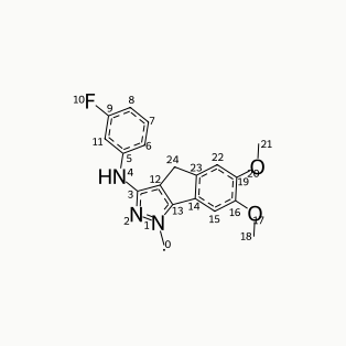 [CH2]n1nc(Nc2cccc(F)c2)c2c1-c1cc(OC)c(OC)cc1C2